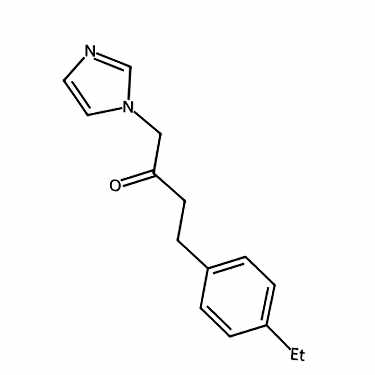 CCc1ccc(CCC(=O)Cn2ccnc2)cc1